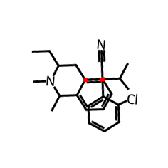 CCC(CCC(C#N)(c1ccccc1Cl)C(C)C)N(C)C(C)c1ccccc1